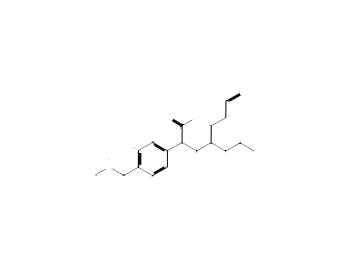 C=CCCC(CCC)CC(C(=O)O)c1ccc(CSC)cc1